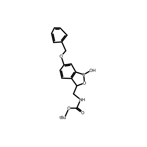 CC(C)(C)OC(=O)NCC1OB(O)c2cc(OCc3ccccc3)ccc21